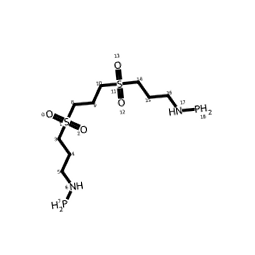 O=S(=O)(CCCNP)CCCS(=O)(=O)CCCNP